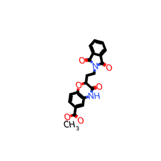 COC(=O)c1ccc2c(c1)NC(=O)C(CCN1C(=O)c3ccccc3C1=O)O2